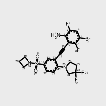 Nc1c(F)cc(Br)c(F)c1C#Cc1cc(S(=O)(=O)N2CCC2)ccc1N1CCC(F)(F)C1